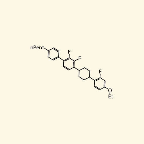 CCCCCc1ccc(-c2ccc(C3CCC(c4ccc(OCC)cc4F)CC3)c(F)c2F)cc1